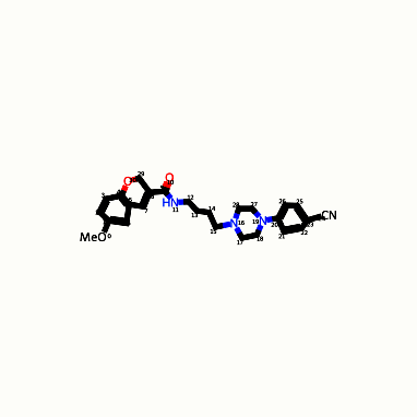 COc1ccc2c(c1)C=C(C(=O)NCCCCN1CCN(c3ccc(C#N)cc3)CC1)CO2